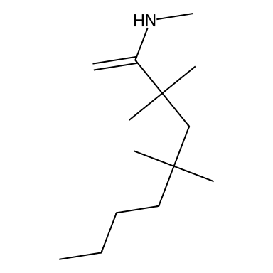 C=C(NC)C(C)(C)CC(C)(C)CCCC